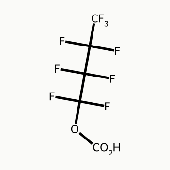 O=C(O)OC(F)(F)C(F)(F)C(F)(F)C(F)(F)F